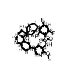 C=C(F)C(=O)N1C2CCC1CN(c1ncnc3ccc(-c4cnc(OC)c(NS(=O)(=O)c5c(F)cc(F)cc5F)c4)cc13)C2